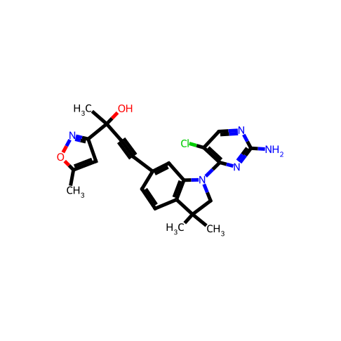 Cc1cc(C(C)(O)C#Cc2ccc3c(c2)N(c2nc(N)ncc2Cl)CC3(C)C)no1